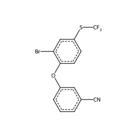 N#Cc1cccc(Oc2ccc(SC(F)(F)F)cc2Br)c1